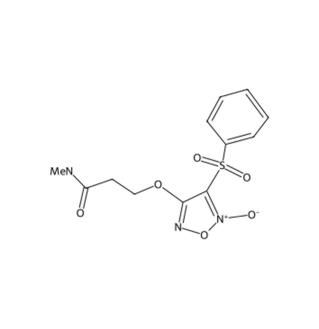 [CH2]NC(=O)CCOc1no[n+]([O-])c1S(=O)(=O)c1ccccc1